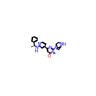 C[C@H](Nc1cc(-c2cc(=O)n(C)c(N3CC4CC3CN4)n2)ccn1)c1ccccc1